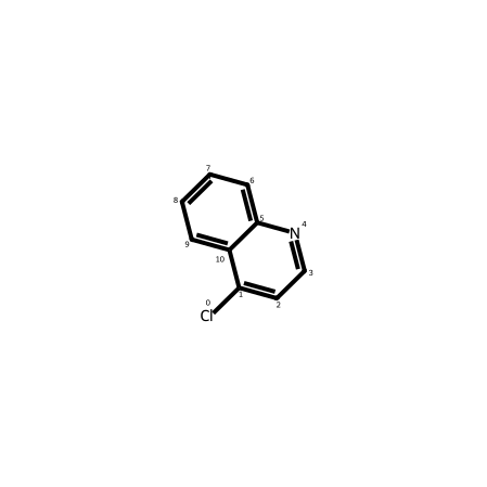 Clc1ccnc2c[c]ccc12